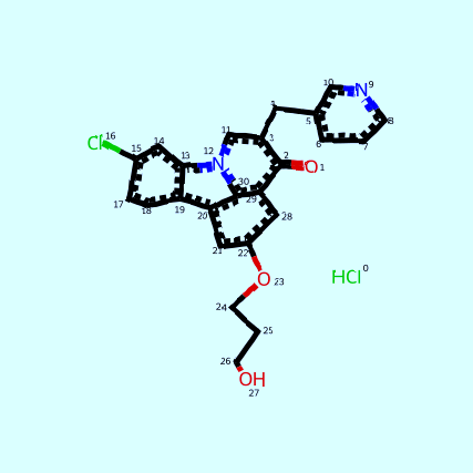 Cl.O=c1c(Cc2cccnc2)cn2c3cc(Cl)ccc3c3cc(OCCCO)cc1c32